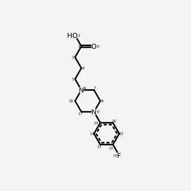 O=C(O)CCCN1CCN(c2ccc(F)cc2)CC1